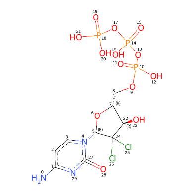 Nc1ccn([C@@H]2O[C@H](COP(=O)(O)OP(=O)(O)OP(=O)(O)O)[C@@H](O)C2(Cl)Cl)c(=O)n1